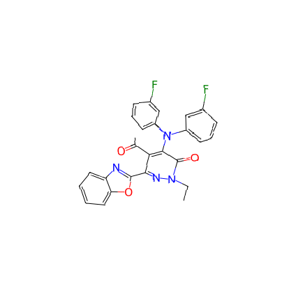 CCn1nc(-c2nc3ccccc3o2)c(C(C)=O)c(N(c2cccc(F)c2)c2cccc(F)c2)c1=O